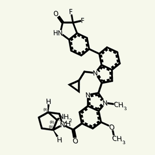 COc1cc(C(=O)N2C[C@H]3CC[C@@H]2[C@@H]3N)cc2nc(-c3cc4cccc(-c5ccc6c(c5)C(F)(F)C(=O)N6)c4n3CC3CC3)n(C)c12